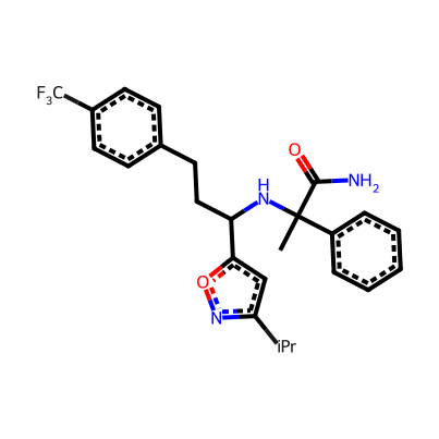 CC(C)c1cc(C(CCc2ccc(C(F)(F)F)cc2)NC(C)(C(N)=O)c2ccccc2)on1